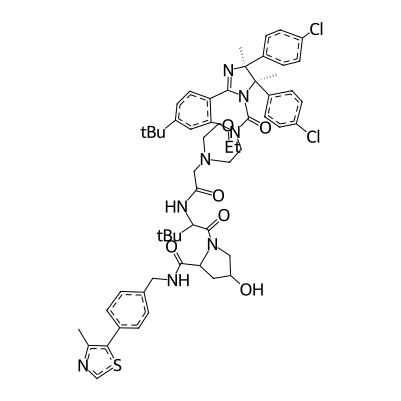 CCOc1cc(C(C)(C)C)ccc1C1=N[C@@](C)(c2ccc(Cl)cc2)[C@@](C)(c2ccc(Cl)cc2)N1C(=O)N1CCN(CC(=O)NC(C(=O)N2CC(O)CC2C(=O)NCc2ccc(-c3scnc3C)cc2)C(C)(C)C)CC1